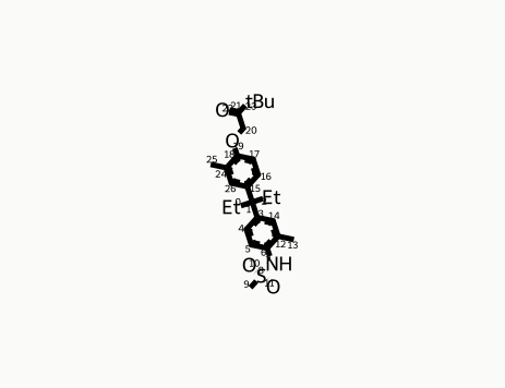 CCC(CC)(c1ccc(NS(C)(=O)=O)c(C)c1)c1ccc(OCC(=O)C(C)(C)C)c(C)c1